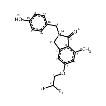 Cc1cc(OCC(F)F)cc2c1C(=O)N(Cc1ccc(O)cc1)C2